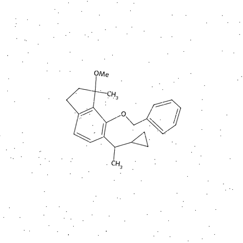 COC1(C)CCc2ccc(C(C)C3CC3)c(OCc3ccccc3)c21